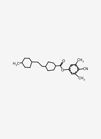 Cc1cc(OC(=O)C2CCC(CCC3CCC(C)CC3)CC2)cc(C)c1C#N